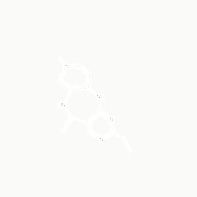 CSc1ncc2c(n1)Nc1ccc(C)cc1NC2=O